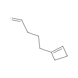 [CH]=CCCCC1=CCC1